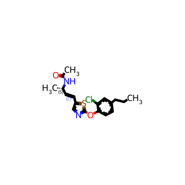 CCCc1ccc(Oc2ncc(/C=C/[C@H](C)NC(C)=O)s2)c(Cl)c1